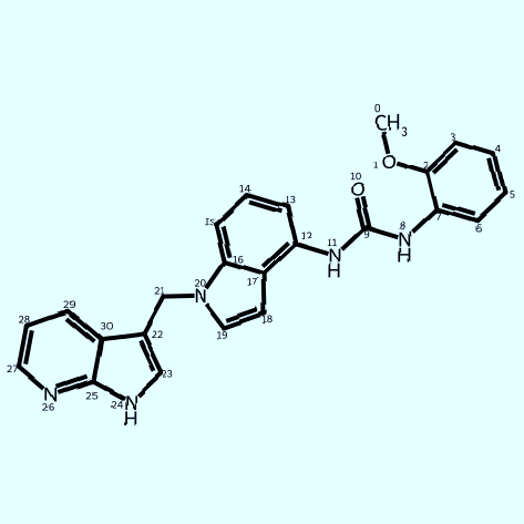 COc1ccccc1NC(=O)Nc1cccc2c1ccn2Cc1c[nH]c2ncccc12